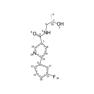 C[C@H](O)CNC(=O)c1ccc(-c2cccc(F)c2)nc1